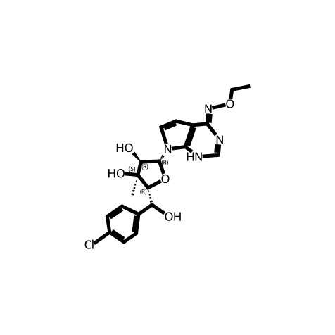 CCON=c1nc[nH]c2c1ccn2[C@@H]1O[C@H](C(O)c2ccc(Cl)cc2)[C@@](C)(O)[C@H]1O